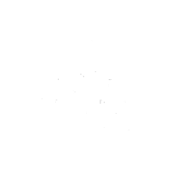 CCC(NC(=O)C(C)(C)C)C(=O)NC(C)(C)C